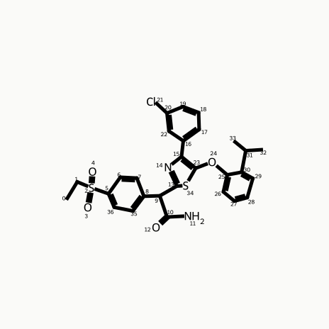 CCS(=O)(=O)c1ccc(C(C(N)=O)c2nc(-c3cccc(Cl)c3)c(Oc3ccccc3C(C)C)s2)cc1